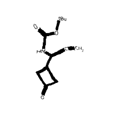 C=C=C(NC(=O)OC(C)(C)C)C1CC(=O)C1